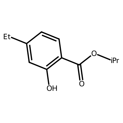 CCc1ccc(C(=O)OC(C)C)c(O)c1